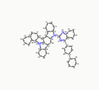 c1ccc(-c2ccc(-c3nc(-n4c5ccccc5c5c6c7ccc8ccccc8c7n7c8ccccc8c(cc54)c67)nc4ccccc34)cc2)cc1